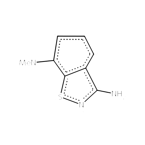 CNc1cccc2c(N)nsc12